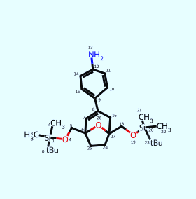 CC(C)(C)[Si](C)(C)OCC12C=C(c3ccc(N)cc3)CC(CO[Si](C)(C)C(C)(C)C)(CC1)O2